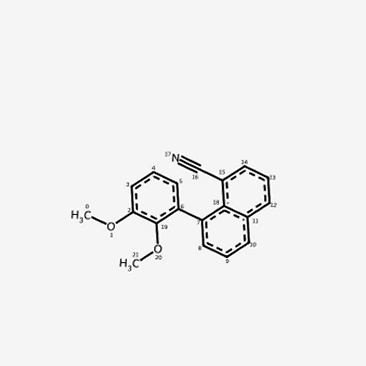 COc1cccc(-c2cccc3cccc(C#N)c23)c1OC